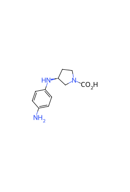 Nc1ccc(N[C@H]2CCN(C(=O)O)C2)cc1